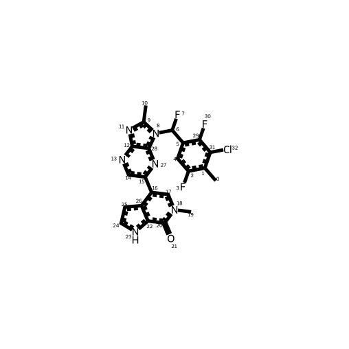 Cc1c(F)cc(C(F)n2c(C)nc3ncc(-c4cn(C)c(=O)c5[nH]ccc45)nc32)c(F)c1Cl